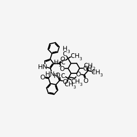 C=C(C)C(=O)OCCOC(=O)c1ccccc1C(=O)Nc1[nH]cc(-c2ccccc2)c1C(=O)OC1C(C(C)(C)C)CC(C)CC1C(C)(C)C